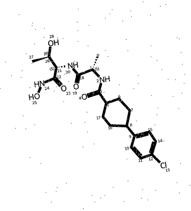 C[C@H](NC(=O)C1CCC(c2ccc(Cl)cc2)CC1)C(=O)N[C@H](C(=O)NO)[C@@H](C)O